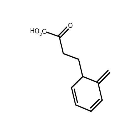 C=C1C=CC=CC1CCC(=O)C(=O)O